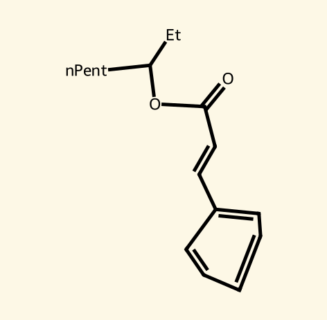 CCCCCC(CC)OC(=O)C=Cc1ccccc1